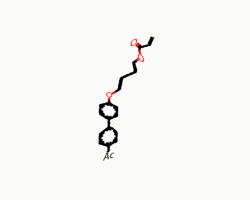 C=CC(=O)OCCCCOc1ccc(-c2ccc(C(C)=O)cc2)cc1